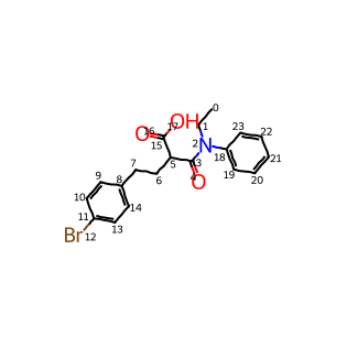 CCN(C(=O)C(CCc1ccc(Br)cc1)C(=O)O)c1ccccc1